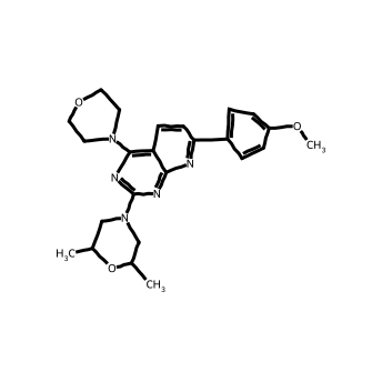 COc1ccc(-c2ccc3c(N4CCOCC4)nc(N4CC(C)OC(C)C4)nc3n2)cc1